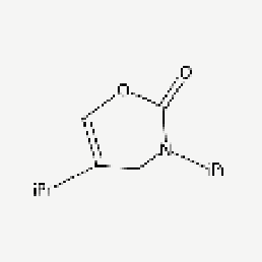 CC(C)C1=COC(=O)N(C(C)C)C1